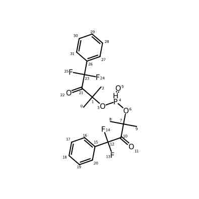 CC(C)(O[PH](=O)OC(C)(C)C(=O)C(F)(F)c1ccccc1)C(=O)C(F)(F)c1ccccc1